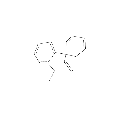 C=CC1(c2ccccc2CC)C=CC=CC1